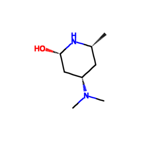 C[C@@H]1C[C@H](N(C)C)C[C@H](O)N1